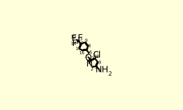 Nc1cnc(OCc2ccc(C(F)(F)F)cc2)c(Cl)c1